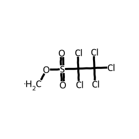 [CH2]OS(=O)(=O)C(Cl)(Cl)C(Cl)(Cl)Cl